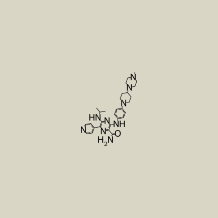 CC(C)Nc1nc(Nc2ccc(N3CCC(N4CCN(C)CC4)CC3)cc2)c(C(N)=O)nc1-c1ccncc1